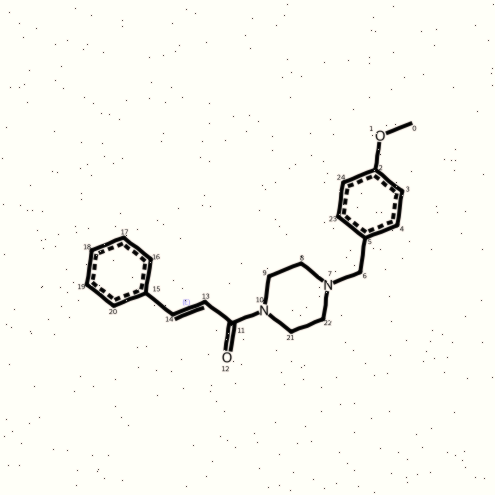 COc1ccc(CN2CCN(C(=O)/C=C/c3ccccc3)CC2)cc1